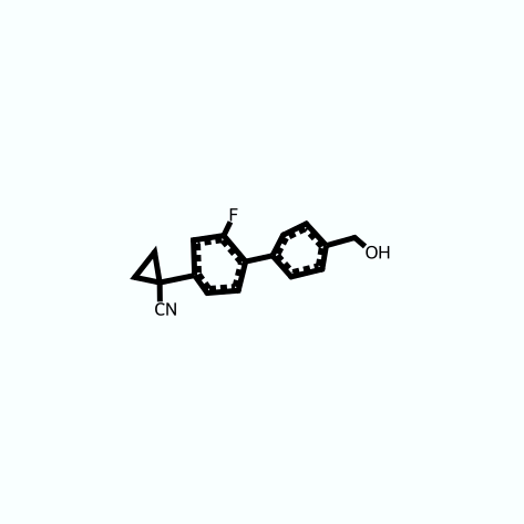 N#CC1(c2ccc(-c3ccc(CO)cc3)c(F)c2)CC1